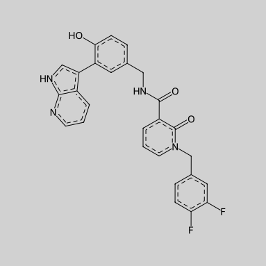 O=C(NCc1ccc(O)c(-c2c[nH]c3ncccc23)c1)c1cccn(Cc2ccc(F)c(F)c2)c1=O